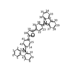 c1ccc2c(c1)c1ccccc1n2-c1ccc(-c2ccc(-c3ccc(-n4c5ccccc5c5ccccc54)cc3)o2)cc1